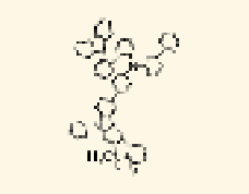 CC1(C)c2ccccc2-c2cc3c4cc(-c5ccc(N(c6cccc(-c7ccccc7)c6)c6cccc7c6-c6ccccc6C7(c6ccccc6)c6ccccc6)cc5)ccc4n(-c4ccccc4)c3cc21